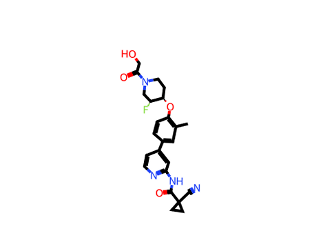 Cc1cc(-c2ccnc(NC(=O)C3(C#N)CC3)c2)ccc1O[C@H]1CCN(C(=O)CO)C[C@H]1F